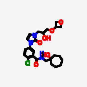 O=C(NCC1(O)CCCCCC1)c1cc(-n2ccn(CC(O)COC3COC3)c2=O)ccc1Cl